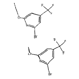 COc1cc(C(F)(F)F)cc(Br)n1.COc1cc(C(F)(F)F)cc(Br)n1